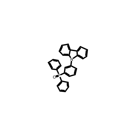 O=P(c1ccccc1)(c1ccccc1)c1cccc(-n2c3ccccc3c3ccccc32)c1